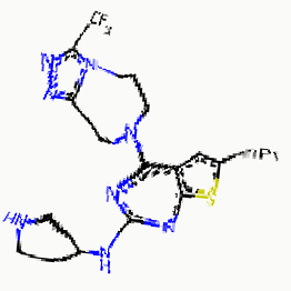 CCCc1cc2c(N3CCn4c(nnc4C(F)(F)F)C3)nc(N[C@H]3CCNC3)nc2s1